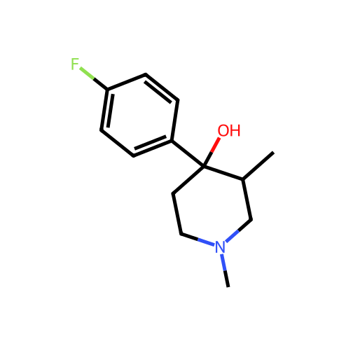 CC1CN(C)CCC1(O)c1ccc(F)cc1